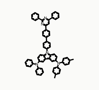 Cc1ccc(N(c2ccc(C)cc2)c2ccc3c(c2)c2cc(N(c4ccccc4)c4ccccc4)ccc2n3-c2ccc(-c3ccc(-c4cc(-c5ccccc5)nc(-c5ccccc5)n4)cc3)cc2)cc1